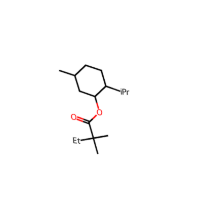 CCC(C)(C)C(=O)OC1CC(C)CCC1C(C)C